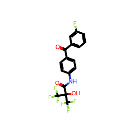 O=C(c1ccc(NC(=O)C(O)(C(F)(F)F)C(F)(F)F)cc1)c1cccc(F)c1